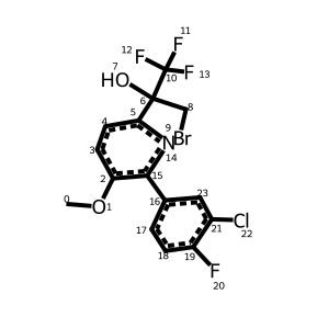 COc1ccc(C(O)(CBr)C(F)(F)F)nc1-c1ccc(F)c(Cl)c1